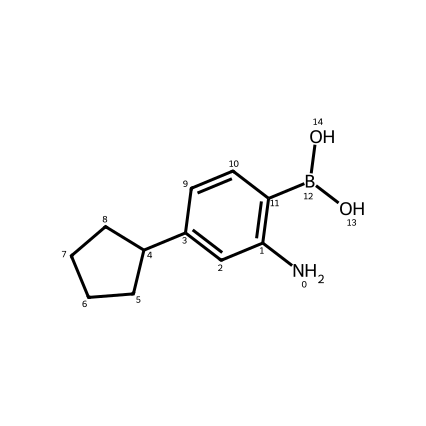 Nc1cc(C2CCCC2)ccc1B(O)O